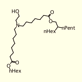 CCCCCCOC(=O)CCCCCCCN(CCO)CCCCCCC(=O)OCC(CCCCC)CCCCCC